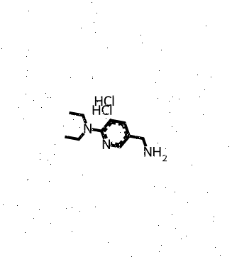 CCN(CC)c1ccc(CN)cn1.Cl.Cl